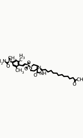 CC(=O)CCCCCCCCCCCC1=NC2(CCN(S(=O)(=O)/C=C/c3c(C)cc(N(C)C(N)=O)cc3C)CC2)C(=O)N1